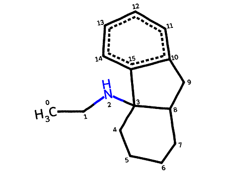 CCNC12CCCCC1Cc1ccccc12